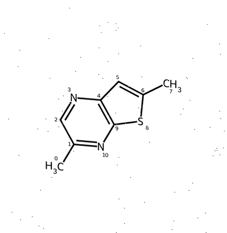 Cc1cnc2cc(C)sc2n1